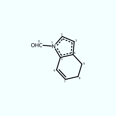 O=Cn1ccc2c1C=CCC2